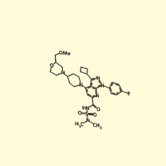 COCC1CN(C2CCN(c3cc(C(=O)NS(=O)(=O)N(C)C)nc4c3c(C3CCC3)nn4-c3ccc(F)cc3)CC2)CCO1